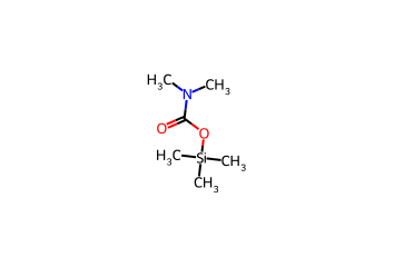 CN(C)C(=O)O[Si](C)(C)C